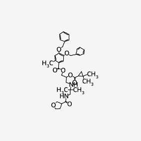 Cc1cc(OCc2ccccc2)c(OCc2ccccc2)cc1C(=O)OCC(CNC(C)(C)CNC(=O)C1CCOC1)OC(=O)C1CC1(C)C